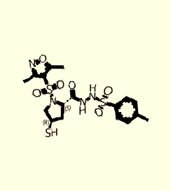 Cc1ccc(S(=O)(=O)NNC(=O)[C@@H]2C[C@@H](S)CN2S(=O)(=O)c2c(C)noc2C)cc1